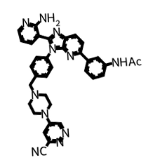 CC(=O)Nc1cccc(-c2ccc3nc(-c4cccnc4N)n(-c4ccc(CN5CCN(c6cnnc(C#N)c6)CC5)cc4)c3n2)c1